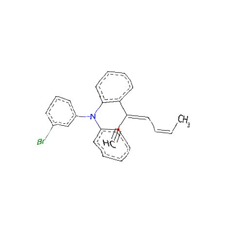 C#C/C(=C\C=C/C)c1ccccc1N(c1ccccc1)c1cccc(Br)c1